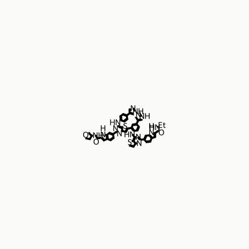 CCNC(=O)c1cc2ccc(-c3nc(Nc4ccc(-c5cn[nH]c5)cc4-c4cc5nc(-c6ccc7cc(C(=O)NC8CCOC8)[nH]c7c6)nc(Nc6ccc(-c7cn[nH]c7)cc6)c5s4)c4sccc4n3)cc2[nH]1